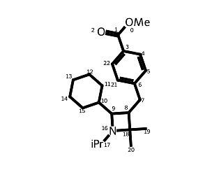 COC(=O)c1ccc(CC2C(C3CCCCC3)N(C(C)C)C2(C)C)cc1